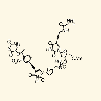 COC[C@H]1O[C@@H](n2cc(C#CCNC(=O)CN)c(=O)[nH]c2=O)C[C@@H]1OP(=O)(O)OC[C@@H]1CC[C@H](n2cc(C#Cc3ccc(C(C)OC4CNC(=O)SC4=O)c([N+](=O)[O-])c3)c(=O)[nH]c2=O)O1